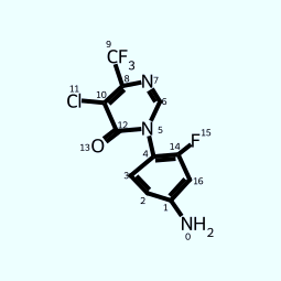 Nc1ccc(-n2cnc(C(F)(F)F)c(Cl)c2=O)c(F)c1